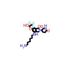 NCCCCCCNc1cccc2c1CN(C1CCC(=O)NC1=O)C2=O.O=C(O)C(F)(F)F